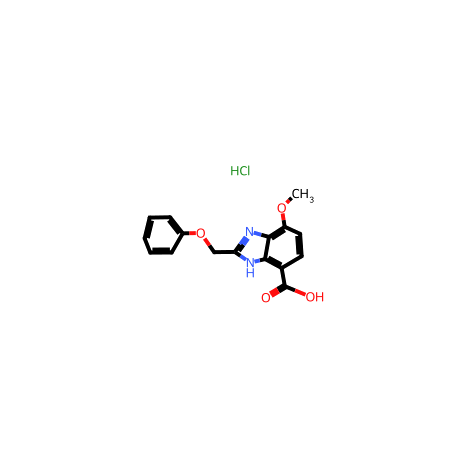 COc1ccc(C(=O)O)c2[nH]c(COc3ccccc3)nc12.Cl